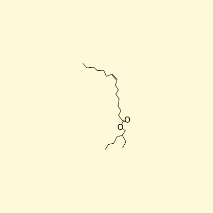 CCCCCC/C=C\CCCCCCCC(=O)OCC(CC)CCCC